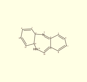 C1=CC2N=c3ccccc3=CNC2C=C1